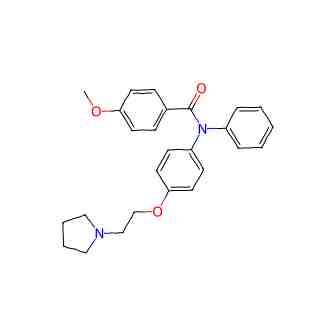 COc1ccc(C(=O)N(c2ccccc2)c2ccc(OCCN3CCCC3)cc2)cc1